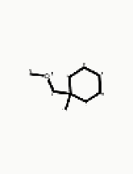 CO[CH]C1(C)CCCCC1